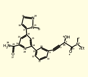 CCN(C)C(=O)[C@H](O)C#Cc1cccc(-c2cc(-c3ccnn3C)cc(C(N)=O)n2)c1